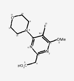 COc1nc(CC(=O)O)nc(N2CCOCC2)c1F